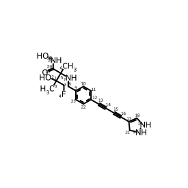 CC(O)(CF)C(C)(NCc1ccc(C#CC#CC2=CNNC2)cc1)C(=O)NO